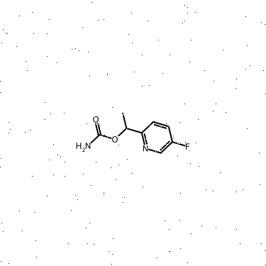 CC(OC(N)=O)c1ccc(F)cn1